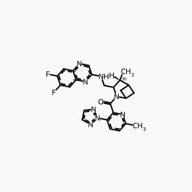 Cc1ccc(-n2nccn2)c(C(=O)N2C3CC(C3)[C@@H](C)C2CNc2cnc3cc(F)c(F)cc3n2)n1